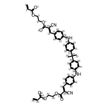 C=CC(=O)OCCOC(=O)/C(C#N)=C/c1ccc(Nc2ccc(C(C)(C)c3ccc(Nc4ccc(/C=C(\C#N)C(=O)OCCOC(=O)C=C)cc4)cc3)cc2)cc1